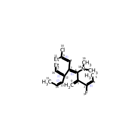 C=C(/C(F)=C\C)/C(=C(/C=C(/Cl)CC)C(\C=C/C)=C/CC)N(C)C